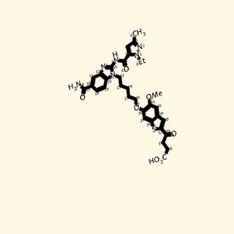 CCn1nc(C)cc1C(=O)Nc1nc2cc(C(N)=O)ccc2n1CCCCCOc1cc2sc(C(=O)CCC(=O)O)cc2cc1OC